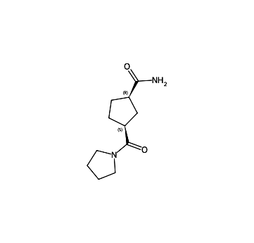 NC(=O)[C@@H]1CC[C@H](C(=O)N2CCCC2)C1